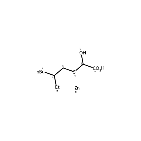 CCCCC(CC)CSC(O)C(=O)O.[Zn]